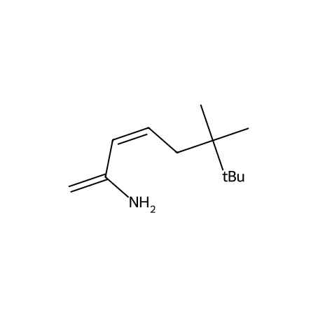 C=C(N)/C=C\CC(C)(C)C(C)(C)C